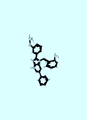 COc1cccc(-c2nc3ncc(-c4ccccc4)cc3n2Cc2ccccc2C)c1